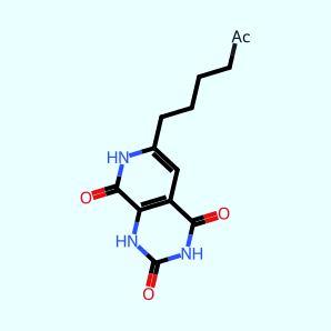 CC(=O)CCCCc1cc2c(=O)[nH]c(=O)[nH]c2c(=O)[nH]1